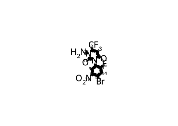 Nn1c(C(F)(F)F)cc(=O)n(-c2cc([N+](=O)[O-])c(Br)cc2F)c1=O